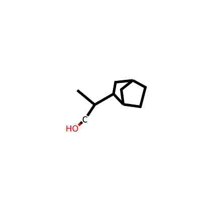 CC(CO)C1CC2CCC1C2